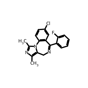 Cc1nc(C)n2c1CN=C(c1ccccc1F)c1cc(Cl)ccc1-2